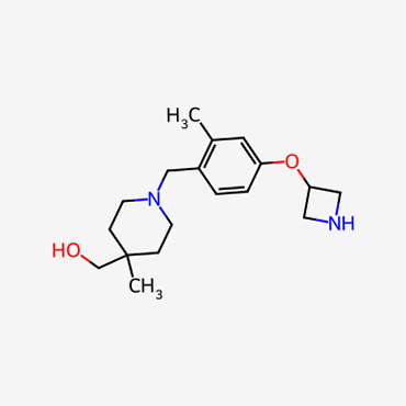 Cc1cc(OC2CNC2)ccc1CN1CCC(C)(CO)CC1